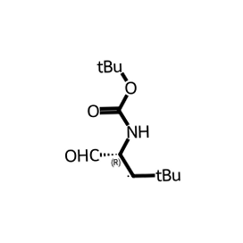 CC(C)(C)[CH][C@H](C=O)NC(=O)OC(C)(C)C